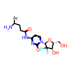 CC(=O)C(N)CCC(=O)Nc1ccn([C@@H]2O[C@H](CO)[C@H](O)C2(F)F)c(=O)n1